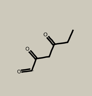 CCC(=O)CC(=O)[C]=O